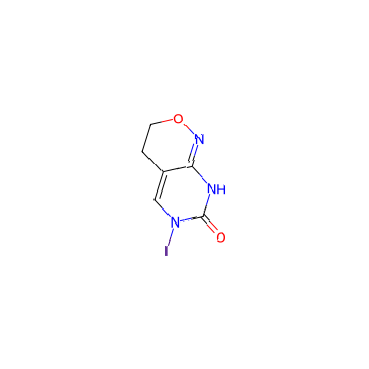 O=C1NC2=NOCCC2=CN1I